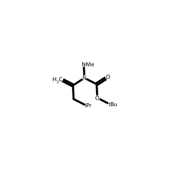 C=C(CC(C)C)N(NC)C(=O)OC(C)(C)C